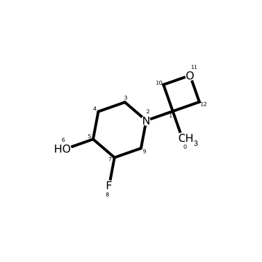 CC1(N2CCC(O)C(F)C2)COC1